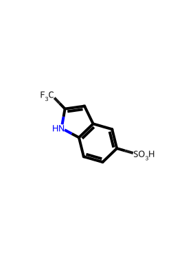 O=S(=O)(O)c1ccc2[nH]c(C(F)(F)F)cc2c1